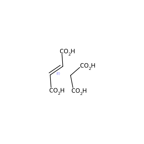 O=C(O)/C=C/C(=O)O.O=C(O)CC(=O)O